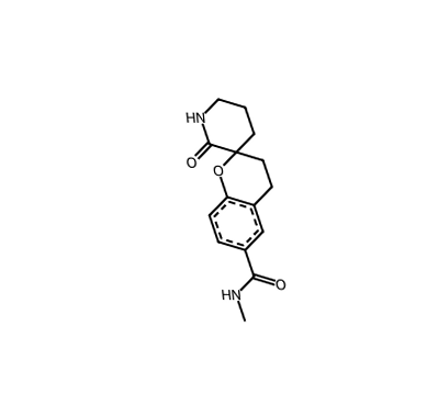 CNC(=O)c1ccc2c(c1)CCC1(CCCNC1=O)O2